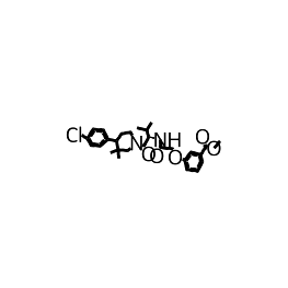 COC(=O)c1cccc(OCC(=O)N[C@@H](C(=O)N2CCC(c3ccc(Cl)cc3)C(C)(C)C2)C(C)C)c1